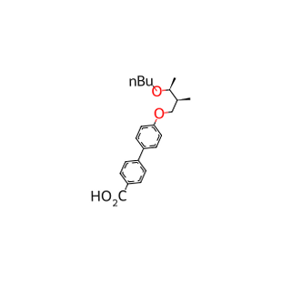 CCCCO[C@@H](C)[C@@H](C)COc1ccc(-c2ccc(C(=O)O)cc2)cc1